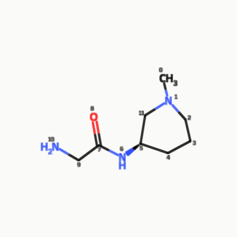 CN1CCC[C@@H](NC(=O)CN)C1